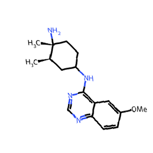 COc1ccc2ncnc(NC3CC[C@@](C)(N)[C@H](C)C3)c2c1